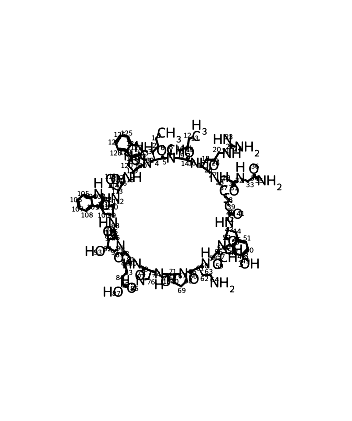 CCCC[C@H]1C(=O)N(C)[C@@H](CCCC)C(=O)N[C@@H](CCCNC(=N)N)C(=O)N[C@H](CC(=O)NCC(N)=O)CSCC(=O)N[C@@H](Cc2ccc(O)cc2)C(=O)N(C)[C@@H](C)C(=O)N[C@@H](CCN)C(=O)N2CCC[C@H]2C(=O)N[C@@H](CN)C(=O)N[C@@H](CCCC(=O)O)C(=O)N2C[C@H](O)C[C@H]2C(=O)N[C@@H](Cc2c[nH]c3ccccc23)C(=O)N[C@@H](CO)C(=O)N[C@@H](Cc2c[nH]c3ccccc23)C(=O)N1C